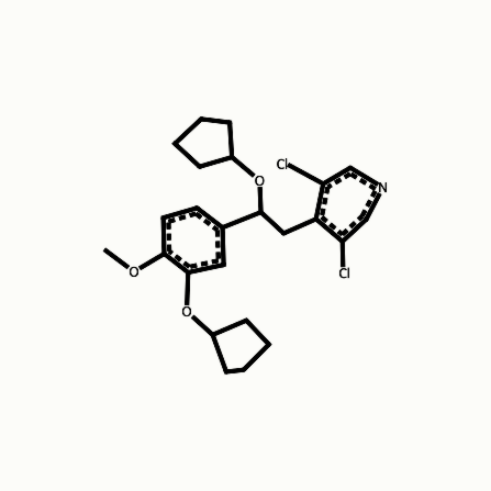 COc1ccc(C(Cc2c(Cl)cncc2Cl)OC2CCCC2)cc1OC1CCCC1